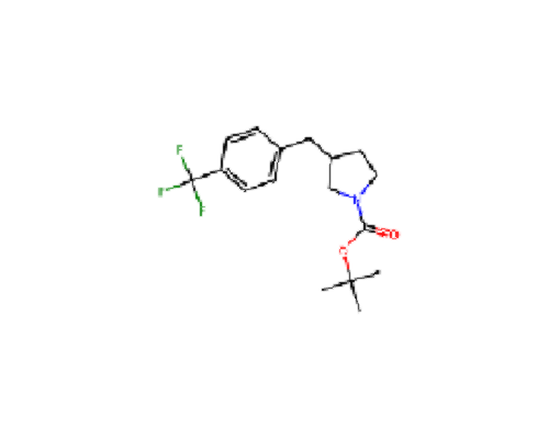 CC(C)(C)OC(=O)N1CCC(Cc2ccc(C(F)(F)F)cc2)C1